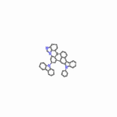 c1ccc(-n2c3ccccc3c3c4cccc5c4c(cc32)-c2cc(-n3c4ccccc4c4ccccc43)cc3c2B5c2cccc4ncn-3c24)cc1